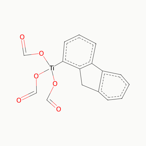 O=C[O][Ti]([O]C=O)([O]C=O)[c]1cccc2c1Cc1ccccc1-2